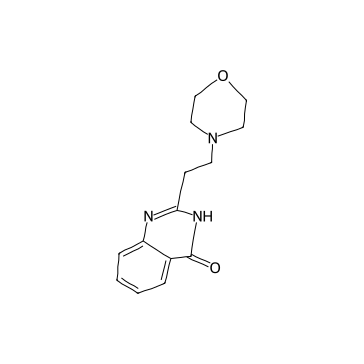 O=c1[nH]c(CCN2CCOCC2)nc2ccccc12